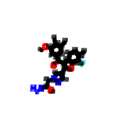 COc1cc(C(=O)c2c(-c3cnn(CC(N)=O)c3)oc3c(F)c(C)ccc23)cc(C)c1C